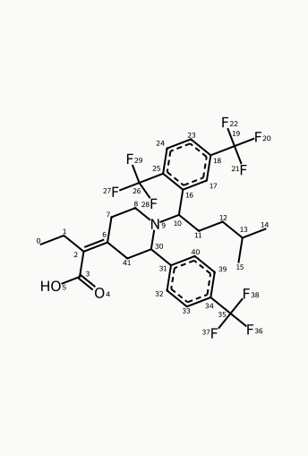 CCC(C(=O)O)=C1CCN(C(CCC(C)C)c2cc(C(F)(F)F)ccc2C(F)(F)F)C(c2ccc(C(F)(F)F)cc2)C1